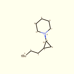 CC(C)(C)CCC1C[C@@H]1N1CCCCC1